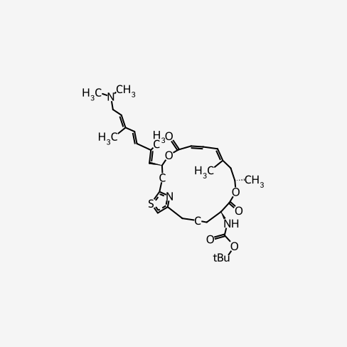 CC(/C=C/C(C)=C/[C@@H]1Cc2nc(cs2)CCC[C@H](NC(=O)OC(C)(C)C)C(=O)O[C@@H](C)C/C(C)=C/C=C\C(=O)O1)=C\CN(C)C